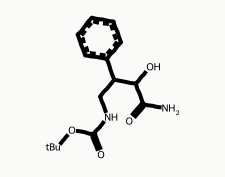 CC(C)(C)OC(=O)NCC(c1ccccc1)C(O)C(N)=O